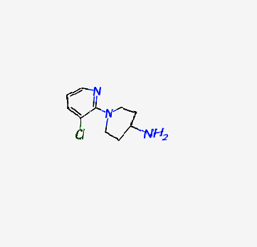 NC1CCN(c2ncccc2Cl)CC1